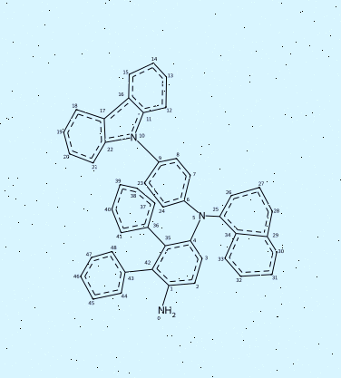 Nc1ccc(N(c2ccc(-n3c4ccccc4c4ccccc43)cc2)c2cccc3ccccc23)c(-c2ccccc2)c1-c1ccccc1